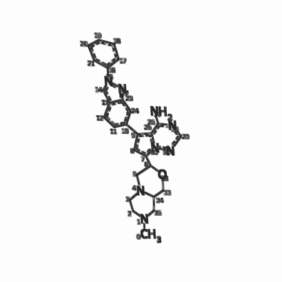 CN1CCN2CC(c3cc(-c4ccc5cn(-c6ccccc6)nc5c4)c4c(N)ncnn34)OCC2C1